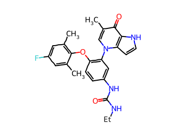 CCNC(=O)Nc1ccc(Oc2c(C)cc(F)cc2C)c(-n2cc(C)c(=O)c3[nH]ccc32)c1